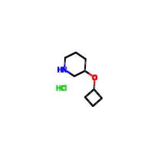 C1CC(OC2CCCNC2)C1.Cl